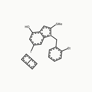 CCc1ccccc1Cn1c(SC)cc2c(O)cc(I)cc21.c1cc2ccc1-2